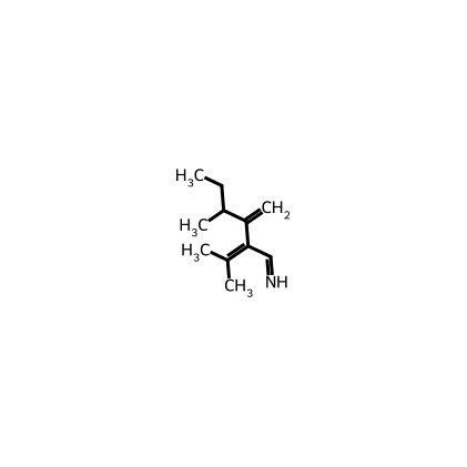 C=C(C(C=N)=C(C)C)C(C)CC